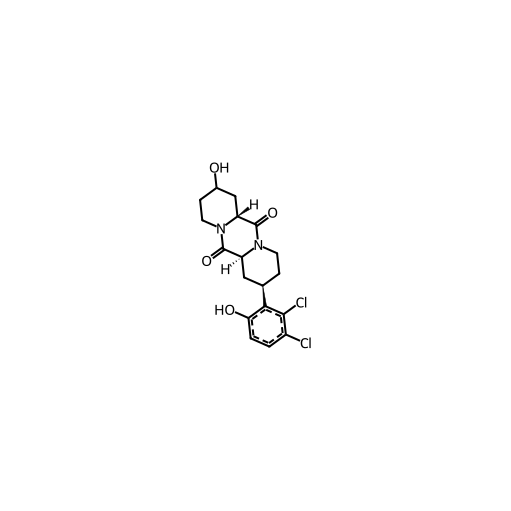 O=C1[C@@H]2C[C@H](c3c(O)ccc(Cl)c3Cl)CCN2C(=O)[C@H]2CC(O)CCN12